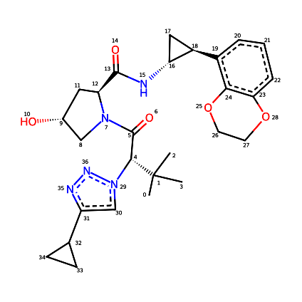 CC(C)(C)[C@@H](C(=O)N1C[C@H](O)C[C@H]1C(=O)N[C@@H]1C[C@H]1c1cccc2c1OCCO2)n1cc(C2CC2)nn1